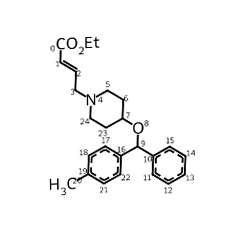 CCOC(=O)/C=C/CN1CCC(OC(c2ccccc2)c2ccc(C)cc2)CC1